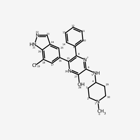 CN1CCC(Nc2nc(-c3ccccc3)c(-c3cc(Cl)c4[nH]ncc4c3)nc2O)CC1